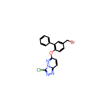 Clc1nnc2ccc(Oc3ccc(CBr)cc3-c3ccccc3)nn12